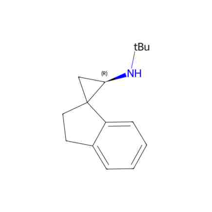 CC(C)(C)N[C@@H]1CC12CCc1ccccc12